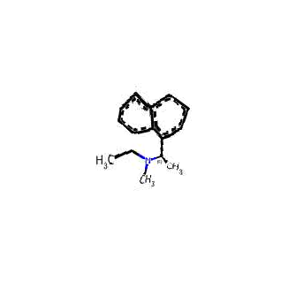 CCN(C)[C@H](C)c1cccc2ccccc12